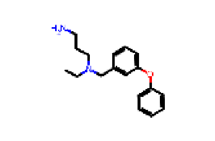 CCN(CCCN)Cc1cccc(Oc2ccccc2)c1